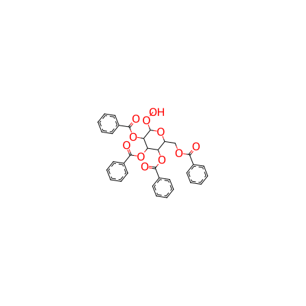 O=C(OCC1OC(OO)C(OC(=O)c2ccccc2)C(OC(=O)c2ccccc2)C1OC(=O)c1ccccc1)c1ccccc1